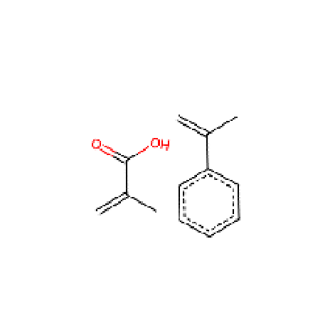 C=C(C)C(=O)O.C=C(C)c1ccccc1